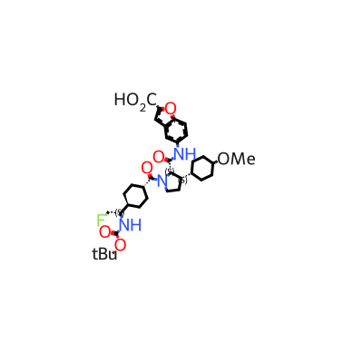 COC1CCC([C@@H]2CCN(C(=O)[C@H]3CC[C@H]([C@@H](CF)NC(=O)OC(C)(C)C)CC3)[C@@H]2C(=O)Nc2ccc3oc(C(=O)O)cc3c2)CC1